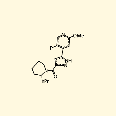 CCC[C@@H]1CCCCN1C(=O)c1cc(-c2cc(OC)ncc2F)[nH]n1